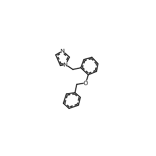 c1ccc(COc2ccccc2Cn2ccnc2)cc1